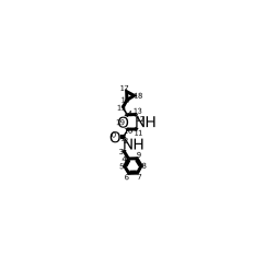 O=C(NCc1ccccc1)[C@@H]1CNC[C@H](CC2CC2)O1